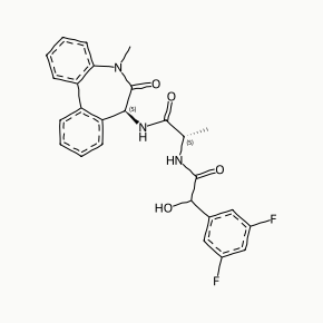 C[C@H](NC(=O)C(O)c1cc(F)cc(F)c1)C(=O)N[C@@H]1C(=O)N(C)c2ccccc2-c2ccccc21